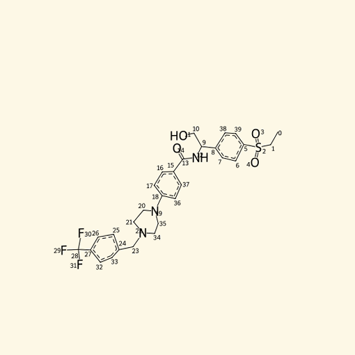 CCS(=O)(=O)c1ccc(C(CO)NC(=O)c2ccc(N3CCN(Cc4ccc(C(F)(F)F)cc4)CC3)cc2)cc1